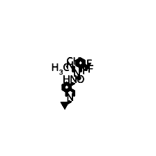 CN(C)CCN(Cc1ccccc1C(F)(F)F)C(=O)NCc1cccc2c1CCN(CC1CC1)C2